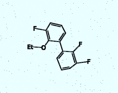 CCOc1c(F)cccc1-c1cccc(F)c1F